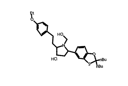 CCCCC1(CCCC)Oc2ccc(C3CCC(CCc4ccc(OCC)cc4)N3CO)cc2S1.Cl